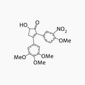 COc1ccc(C2=C(c3cc(OC)c(OC)c(OC)c3)CC(O)C2=O)cc1[N+](=O)[O-]